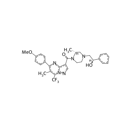 COc1ccc(-c2nc3c(C(=O)N4CCN(C[C@H](O)c5ccccc5)C[C@H]4C)cnn3c(C(F)(F)F)c2C)cc1